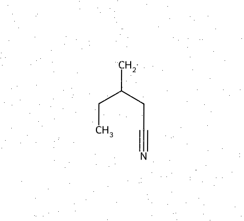 [CH2]C(CC)CC#N